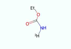 [2H]NC(=O)OCC